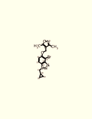 Cc1noc(C)c1COc1ccc2c(nnn2CC2CC2)c1Br